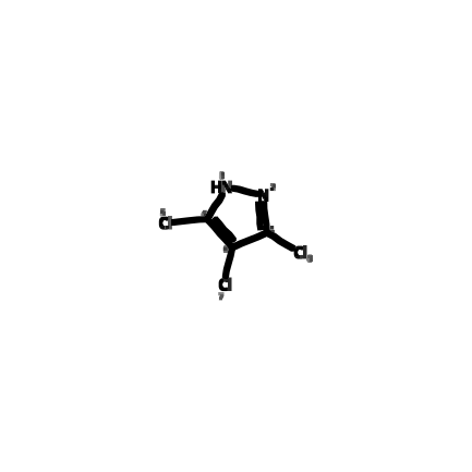 Clc1n[nH]c(Cl)c1Cl